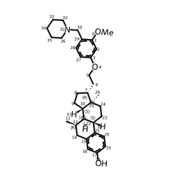 COc1cc(OCC[C@H]2CC[C@H]3[C@@H]4[C@H](C)Cc5cc(O)ccc5[C@H]4CC[C@]23C)ccc1CN1CCCCC1